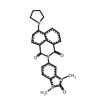 Cn1c(=O)n(C)c2cc(N3C(=O)c4cccc5c(N6CCCC6)ccc(c45)C3=O)ccc21